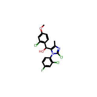 COc1ccc(C(O)c2c(C)nc(Cl)n2-c2ccc(F)cc2Cl)c(Cl)c1